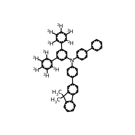 [2H]c1c([2H])c([2H])c(-c2cc(-c3c([2H])c([2H])c([2H])c([2H])c3[2H])cc(N(c3ccc(-c4ccccc4)cc3)c3ccc(-c4ccc5c(c4)C(C)(C)c4ccccc4-5)cc3)c2)c([2H])c1[2H]